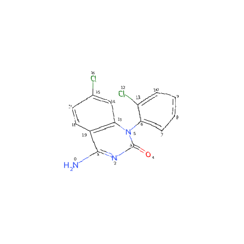 Nc1nc(=O)n(-c2ccccc2Cl)c2cc(Cl)ccc12